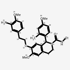 CCNC(=O)N1CCc2cc(OC)c(OCCc3ccc(OC)c(N)c3)cc2C1c1ccc(OC)cc1C